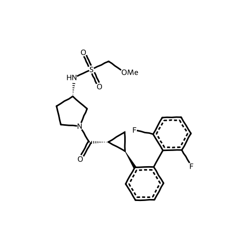 COCS(=O)(=O)N[C@H]1CCN(C(=O)[C@@H]2C[C@H]2c2ccccc2-c2c(F)cccc2F)C1